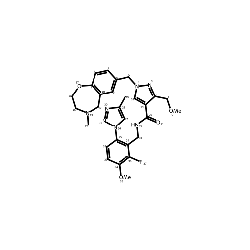 COCc1nn(Cc2ccc3c(c2)CN(C)CCO3)cc1C(=O)NCc1c(-n2cc(C)nn2)ccc(OC)c1F